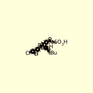 CC(c1ccc(C(=O)NCCS(=O)(=O)O)cc1)C(C(=O)Nc1ccc(-c2ccc(Cl)cc2Cl)cc1)c1ccc(OCC(C)(C)C)cc1